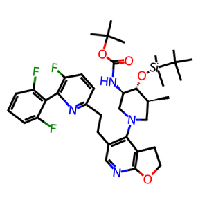 C[C@H]1CN(c2c(CCc3ccc(F)c(-c4c(F)cccc4F)n3)cnc3c2CCO3)C[C@@H](NC(=O)OC(C)(C)C)[C@@H]1O[Si](C)(C)C(C)(C)C